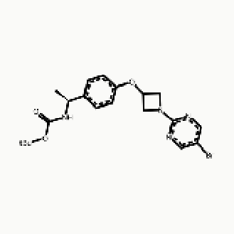 C[C@H](NC(=O)OC(C)(C)C)c1ccc(OC2CN(c3ncc(Br)cn3)C2)cc1